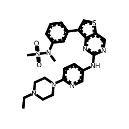 CCN1CCN(c2ccc(Nc3ncc4scc(-c5cccc(N(C)S(C)(=O)=O)c5)c4n3)cn2)CC1